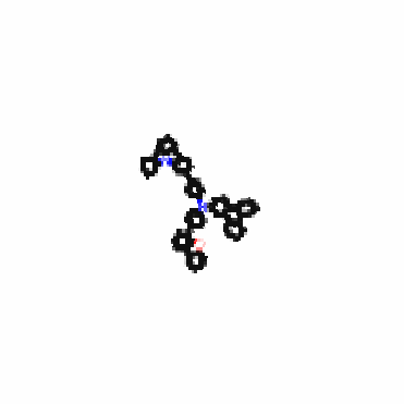 c1ccc2c(c1)oc1c(-c3ccc(N(c4ccc(-c5ccc6c7cccc8c9ccccc9n(c6c5)c87)cc4)c4ccc5c6ccccc6c6ccccc6c5c4)cc3)cccc12